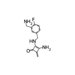 C=C1C(=O)C(NCc2ccc(F)c(CN)c2)=C1N